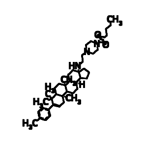 CCCCS(=O)(=O)N1CCN(CCN[C@]23CCCC2[C@H]2CCC4[C@@](C)(CCC5C(C)(C)C(c6ccc(C)cc6)=CC[C@@]54C)C2CC3)CC1